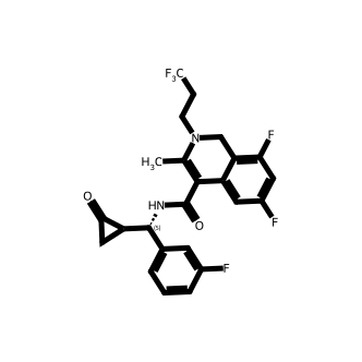 CC1=C(C(=O)N[C@H](c2cccc(F)c2)C2CC2=O)c2cc(F)cc(F)c2CN1CCC(F)(F)F